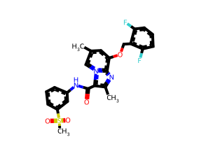 Cc1cc(OCc2c(F)cccc2F)c2nc(C)c(C(=O)Nc3cccc(S(C)(=O)=O)c3)n2c1